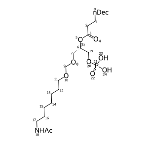 CCCCCCCCCCCCC(=O)O[C@@H](COCOCCCCCCCNC(C)=O)COP(=O)(O)O